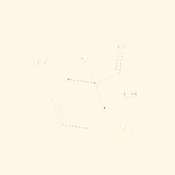 CC1(S)CC=CC2(C)OC12C=O